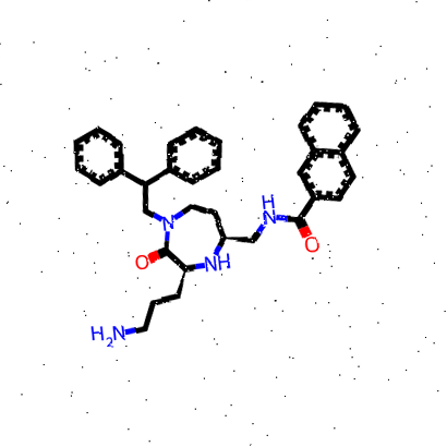 NCCC[C@@H]1N[C@H](CNC(=O)c2ccc3ccccc3c2)CCN(CC(c2ccccc2)c2ccccc2)C1=O